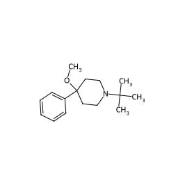 COC1(c2ccccc2)CCN(C(C)(C)C)CC1